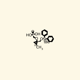 C[C@H]1C[C@]1(CO[Si](c1ccccc1)(c1ccccc1)C(C)(C)C)OCP(=O)(O)O